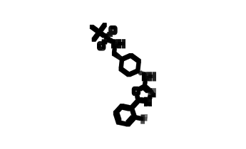 CC(C)(C)S(=O)(=O)NC[C@H]1CC[C@H](Nc2nnc(-c3ccccc3F)o2)CC1